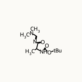 CC(NC(=O)OC(C)(C)C)C(=O)N=CN(C)C